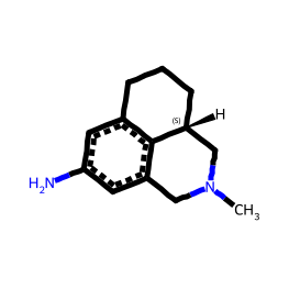 CN1Cc2cc(N)cc3c2[C@H](CCC3)C1